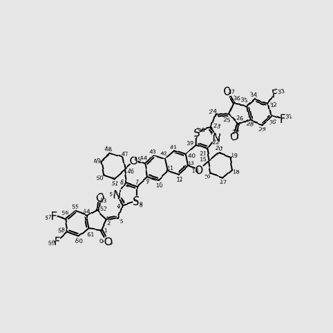 O=C1C(=Cc2nc3c(s2)C2=CC4C=C5OC6(CCCCC6)c6nc(C=C7C(=O)c8cc(F)c(F)cc8C7=O)sc6C5=CC4C=C2OC32CCCCC2)C(=O)c2cc(F)c(F)cc21